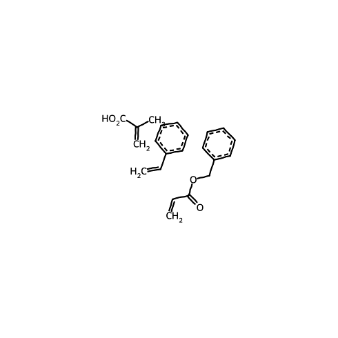 C=C(C)C(=O)O.C=CC(=O)OCc1ccccc1.C=Cc1ccccc1